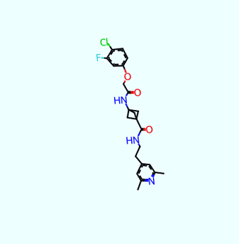 Cc1cc(CCNC(=O)C23CC(NC(=O)COc4ccc(Cl)c(F)c4)(C2)C3)cc(C)n1